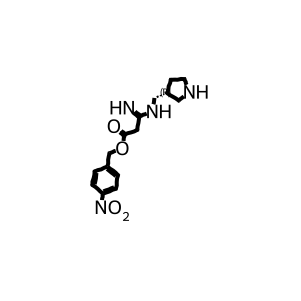 N=C(CC(=O)OCc1ccc([N+](=O)[O-])cc1)NC[C@@H]1CCNC1